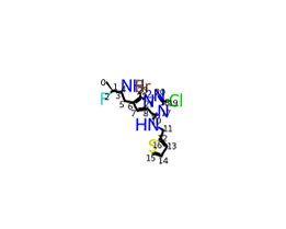 C[C@H](F)[C@H](N)Cc1cc2c(NCc3cccs3)nc(Cl)nn2c1Br